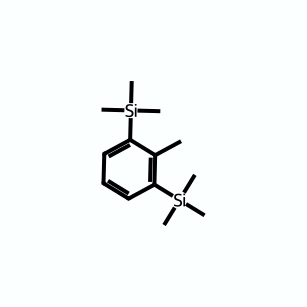 Cc1c([Si](C)(C)C)cccc1[Si](C)(C)C